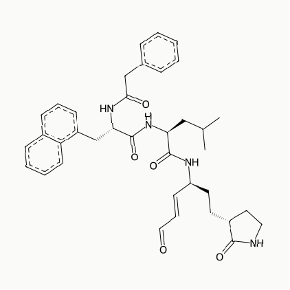 CC(C)C[C@H](NC(=O)[C@H](Cc1cccc2ccccc12)NC(=O)Cc1ccccc1)C(=O)N[C@H](/C=C/C=O)CC[C@@H]1CCNC1=O